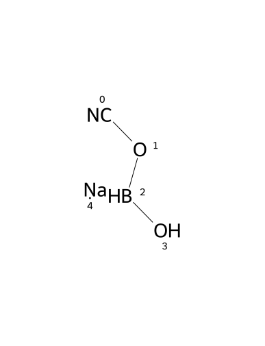 N#COBO.[Na]